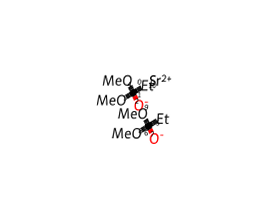 CCC([O-])(OC)OC.CCC([O-])(OC)OC.[Sr+2]